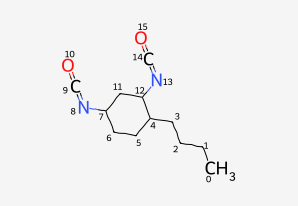 CCCCC1CCC(N=C=O)CC1N=C=O